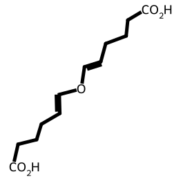 O=C(O)CCCC=COC=CCCCC(=O)O